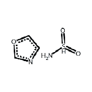 N[SH](=O)=O.c1cocn1